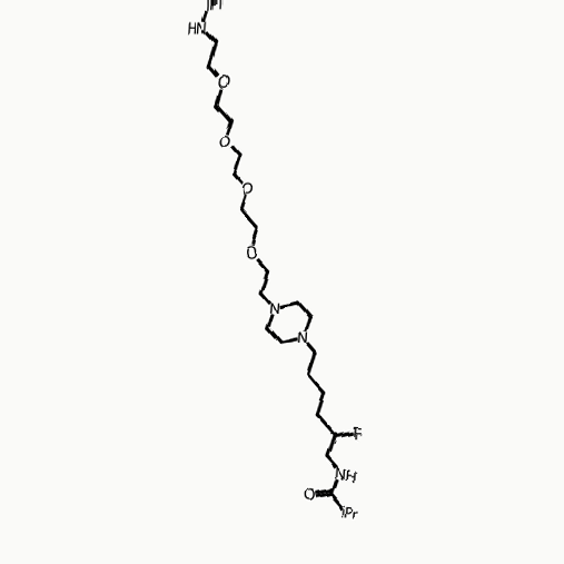 CC(C)NCCOCCOCCOCCOCCN1CCN(CCCCC(F)CNC(=O)C(C)C)CC1